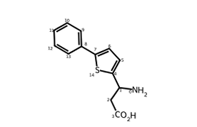 NC(CC(=O)O)c1ccc(-c2ccccc2)s1